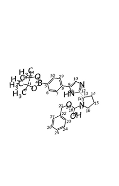 CC1(C)OB(c2ccc(-c3cnc([C@@H]4CCCN4C(O)OCc4ccccc4)[nH]3)cc2)OC1(C)C